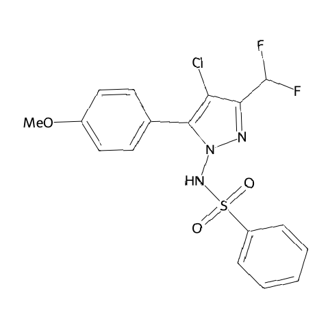 COc1ccc(-c2c(Cl)c(C(F)F)nn2NS(=O)(=O)c2ccccc2)cc1